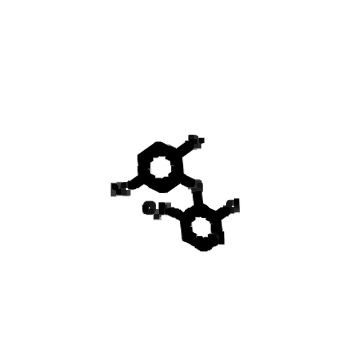 N#Cc1ccc(Br)c(Oc2c([N+](=O)[O-])ccnc2Cl)c1